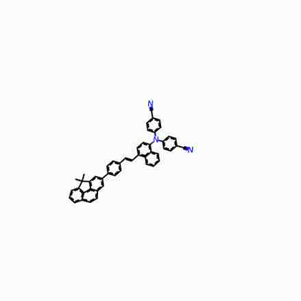 CC1(C)c2cccc3ccc4cc(-c5ccc(/C=C/c6ccc(N(c7ccc(C#N)cc7)c7ccc(C#N)cc7)c7ccccc67)cc5)cc1c4c23